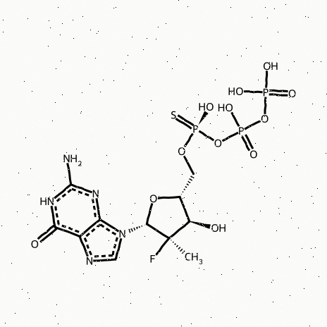 C[C@@]1(F)[C@H](O)[C@@H](CO[P@](O)(=S)OP(=O)(O)OP(=O)(O)O)O[C@H]1n1cnc2c(=O)[nH]c(N)nc21